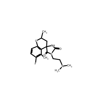 Cc1c(F)ccc2c1C1(CC(C)O2)NC(=O)N(CCN(C)C)C1=O